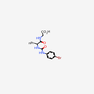 CCCC(NC(=O)Nc1ccc(Br)cc1)C(=O)NCC(=O)O